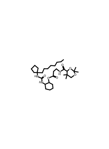 CCCCCCCCC1(NC(=O)NC2CCCCC2OC(=O)CCNC(=O)C2OC(C)(C)OCC2(C)C)CCCC1